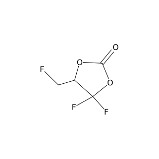 O=C1OC(CF)C(F)(F)O1